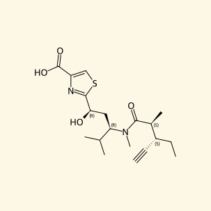 C#C[C@@H](CC)[C@H](C)C(=O)N(C)[C@H](C[C@@H](O)c1nc(C(=O)O)cs1)C(C)C